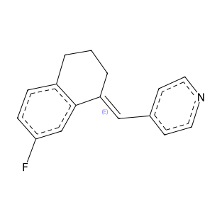 Fc1ccc2c(c1)/C(=C/c1ccncc1)CCC2